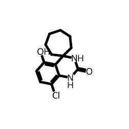 O=C1Nc2c(Cl)ccc(O)c2C2(CCCCCC2)N1